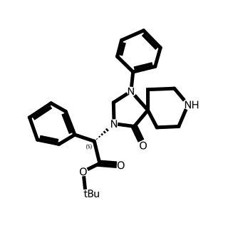 CC(C)(C)OC(=O)[C@H](c1ccccc1)N1CN(c2ccccc2)C2(CCNCC2)C1=O